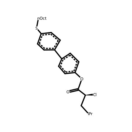 CCCCCCCCSc1ccc(-c2ccc(OC(=O)[C@@H](Cl)CC(C)C)cc2)cc1